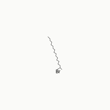 CCCCCCCCCCCCCCCCC(C)CBr